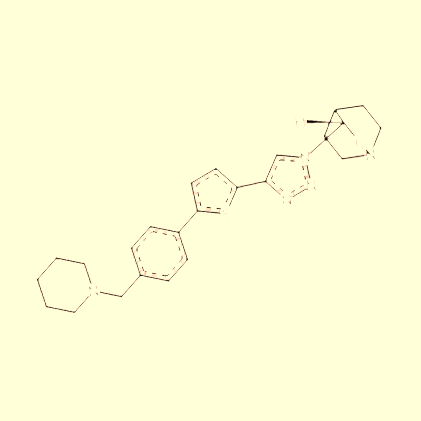 c1cc(-c2ccc(-c3cn([C@H]4CN5CCC4CC5)nn3)s2)ccc1CN1CCCCC1